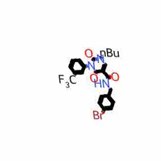 CCCCn1cc(C(=O)NCc2ccc(Br)cc2)c(=O)n(-c2cccc(C(F)(F)F)c2)c1=O